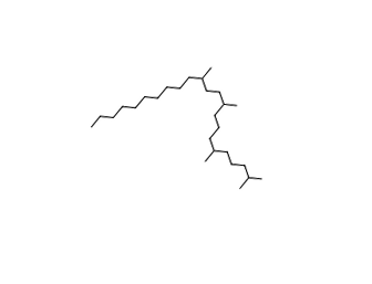 CCCCCCCCCCC(C)CCC(C)CCCC(C)CCCC(C)C